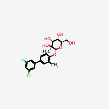 Cc1cc(-c2cc(F)cc(Cl)c2)ccc1O[C@H]1O[C@H](CO)[C@@H](O)[C@H](O)[C@]1(C)O